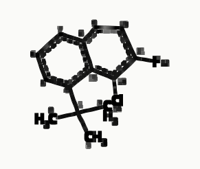 CC(C)(C)c1cccc2ccc(F)c(Cl)c12